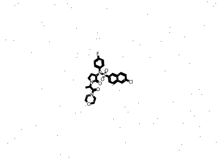 CC(C(=O)N1CCOCC1)N1CCC(N(c2ccc(F)cc2)S(=O)(=O)c2ccc3cc(Cl)ccc3c2)C1=O